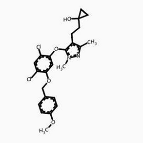 COc1ccc(COc2cc(Oc3c(CCC4(O)CC4)c(C)nn3C)c(Cl)cc2Cl)cc1